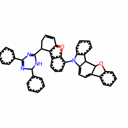 C1=Cc2oc3c(N4C5=CC=C6c7ccccc7OC6C5c5ccccc54)cccc3c2C(C2=NC(c3ccccc3)=NC(c3ccccc3)N2)C1